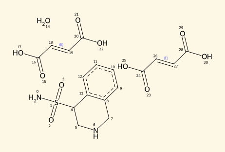 NS(=O)(=O)C1CNCc2ccccc21.O.O=C(O)/C=C/C(=O)O.O=C(O)/C=C/C(=O)O